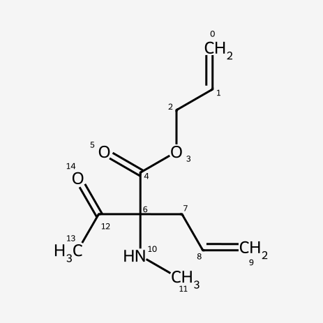 C=CCOC(=O)C(CC=C)(NC)C(C)=O